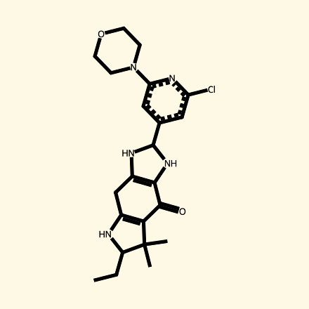 CCC1NC2=C(C(=O)C3=C(C2)NC(c2cc(Cl)nc(N4CCOCC4)c2)N3)C1(C)C